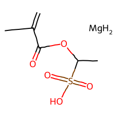 C=C(C)C(=O)OC(C)S(=O)(=O)O.[MgH2]